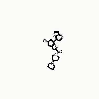 O=C(C1Cc2cc(Cl)cc(-c3ccnc4ccsc34)c2O1)N1CCC(N2CCCCC2)CC1